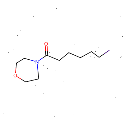 O=C(CCCCCI)N1CCOCC1